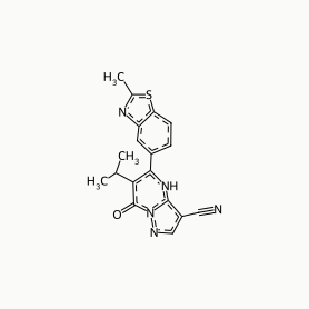 Cc1nc2cc(-c3[nH]c4c(C#N)cnn4c(=O)c3C(C)C)ccc2s1